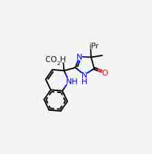 CC(C)C1(C)N=C(C2(C(=O)O)C=Cc3ccccc3N2)NC1=O